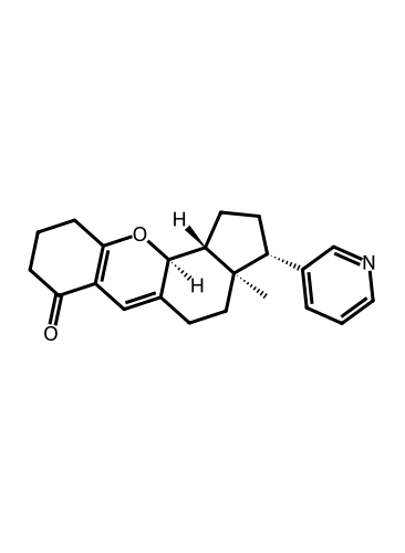 C[C@]12CCC3=CC4=C(CCCC4=O)O[C@H]3[C@@H]1CC[C@@H]2c1cccnc1